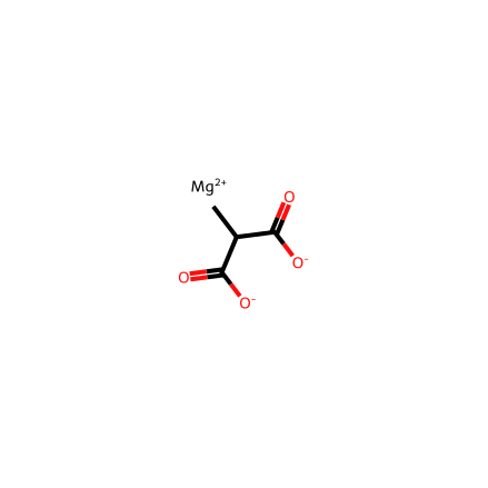 CC(C(=O)[O-])C(=O)[O-].[Mg+2]